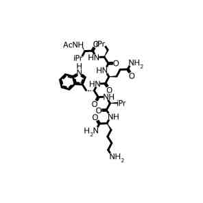 CC(=O)N[C@H](C(=O)N[C@@H](CC(C)C)C(=O)N[C@@H](CCC(N)=O)C(=O)N[C@@H](Cc1c[nH]c2ccccc12)C(=O)N[C@H](C(=O)N[C@@H](CCCCN)C(N)=O)C(C)C)C(C)C